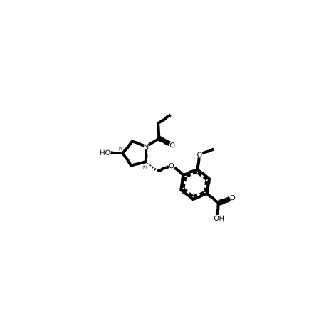 CCC(=O)N1C[C@H](O)C[C@H]1COc1ccc(C(=O)O)cc1OC